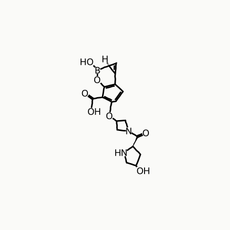 O=C(O)c1c(OC2CN(C(=O)[C@H]3C[C@@H](O)CN3)C2)ccc2c1OB(O)[C@H]1C=C21